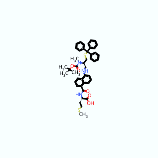 CSCC[C@H](NC(=O)c1cccc2c(NC[C@H](CSC(c3ccccc3)(c3ccccc3)c3ccccc3)N(C)C(=O)OC(C)(C)C)cccc12)C(=O)O